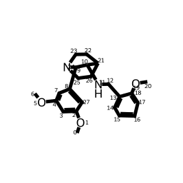 COc1cc(OC)cc(C2C(NCc3ccccc3OC)C3CCN2CC3)c1